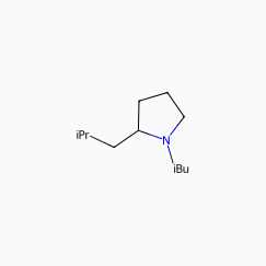 CCC(C)N1CCCC1CC(C)C